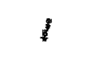 Cc1cnn(C)c1-c1ccc(NCC2CC3(C2)CN(C(=O)OC(C)(C)C)C3)nn1